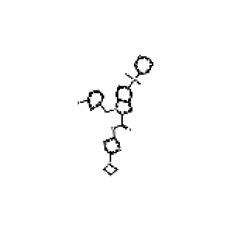 C[Si](C)(c1ccccc1)c1ccc2c(c1)cc(C(=O)Nc1ccc(N3CCC3)nc1)n2Cc1cccc(F)c1